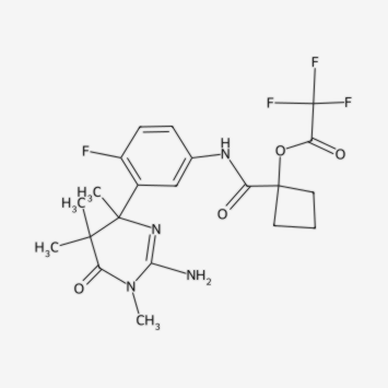 CN1C(=O)C(C)(C)C(C)(c2cc(NC(=O)C3(OC(=O)C(F)(F)F)CCC3)ccc2F)N=C1N